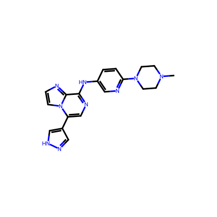 CN1CCN(c2ccc(Nc3ncc(-c4cn[nH]c4)n4ccnc34)cn2)CC1